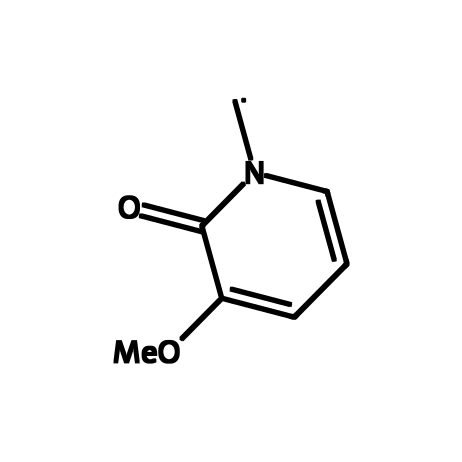 [CH2]n1cccc(OC)c1=O